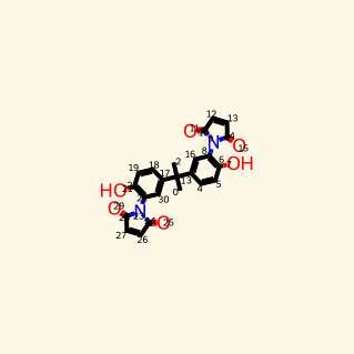 CC(C)(c1ccc(O)c(N2C(=O)C=CC2=O)c1)c1ccc(O)c(N2C(=O)C=CC2=O)c1